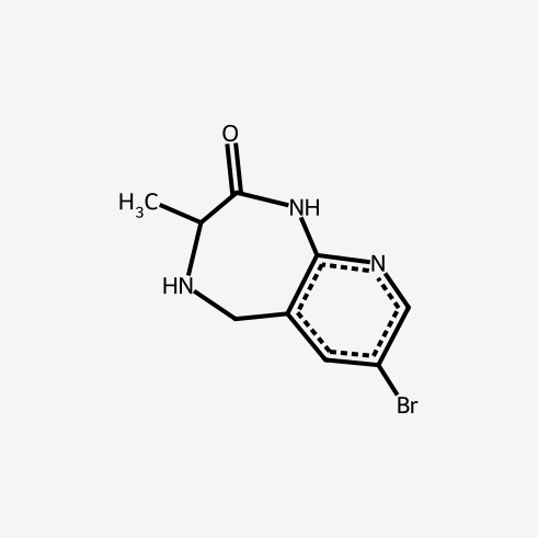 CC1NCc2cc(Br)cnc2NC1=O